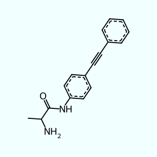 CC(N)C(=O)Nc1ccc(C#Cc2ccccc2)cc1